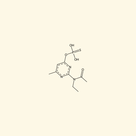 CCN(C(C)=O)c1nc(C)cc(OP(O)(O)=S)n1